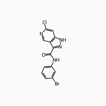 O=C(Nc1cccc(Br)c1)c1n[nH]c2cc(Cl)ncc12